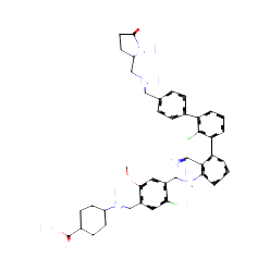 COc1cc(CNc2cccc(-c3cccc(-c4ccc(CNCC5CCC(=O)N5)cc4)c3Cl)c2C=N)c(Cl)cc1CNC1CCC(C(=O)O)CC1